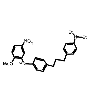 CCN(CC)c1ccc(CCCc2ccc(Nc3cc([N+](=O)[O-])ccc3OC)cc2)cc1